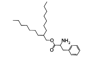 CCCCCCCC(CCCCCCC)COC(=O)C(N)Cc1ccccc1